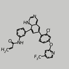 C=CC(=O)Nc1cccc(C2=CC(c3ccc(Oc4cc(C(F)(F)F)ccn4)cc3Cl)=CC3=CN=CNC32)c1